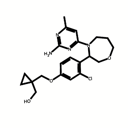 Cc1cc(N2CCCOCC2c2ccc(OCC3(CO)CC3)cc2Cl)nc(N)n1